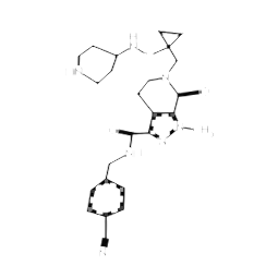 Cn1nc(C(=O)NCc2ccc(C#N)cc2)c2c1C(=O)N(CC1(SNC3CCNCC3)CC1)CC2